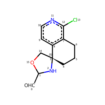 O=CC1N[C@]2(CCCc3c2ccnc3Cl)CO1